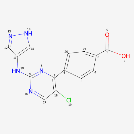 O=C(O)c1ccc(-c2nc(Nc3cn[nH]c3)ncc2Cl)cc1